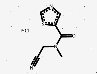 CN(CC#N)C(=O)c1cncs1.Cl